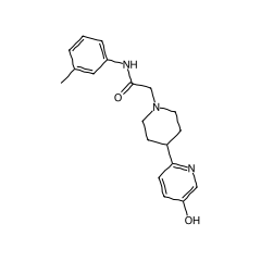 Cc1cccc(NC(=O)CN2CCC(c3ccc(O)cn3)CC2)c1